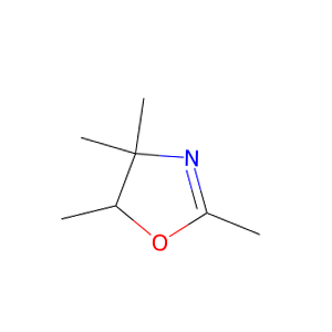 CC1=NC(C)(C)C(C)O1